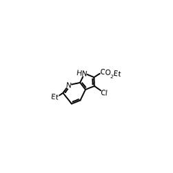 CCOC(=O)c1[nH]c2nc(CC)ccc2c1Cl